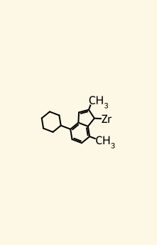 CC1=Cc2c(C3CCCCC3)ccc(C)c2[CH]1[Zr]